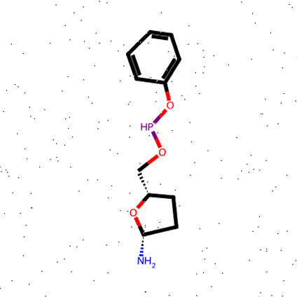 N[C@H]1CC[C@@H](COPOc2ccccc2)O1